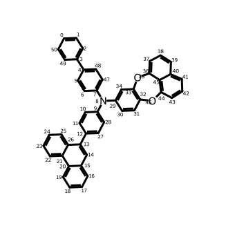 c1ccc(-c2ccc(N(c3ccc(-c4cc5ccccc5c5ccccc45)cc3)c3ccc4c(c3)Oc3cccc5cccc(c35)O4)cc2)cc1